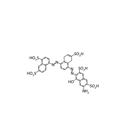 Nc1cc2c(O)c(N=Nc3ccc(N=Nc4ccc(S(=O)(=O)O)c5cc(S(=O)(=O)O)ccc45)c4c3CC(S(=O)(=O)O)=CC4)c(S(=O)(=O)O)cc2cc1S(=O)(=O)O